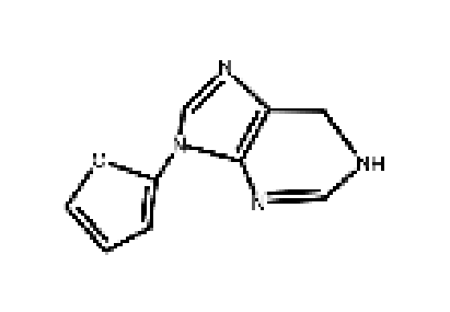 C1=Nc2c(ncn2-c2ccco2)CN1